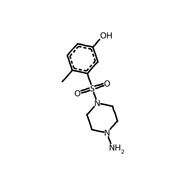 Cc1ccc(O)cc1S(=O)(=O)N1CCN(N)CC1